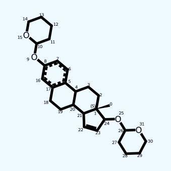 C[C@]12CCC3c4ccc(OC5CCCCO5)cc4CCC3C1C=CC2OC1CCCCO1